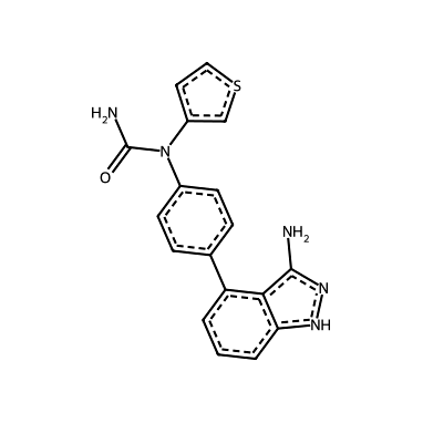 NC(=O)N(c1ccc(-c2cccc3[nH]nc(N)c23)cc1)c1ccsc1